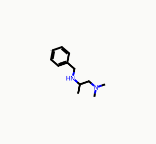 CC(CN(C)C)NCc1cc[c]cc1